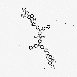 N#C/C(=C(/C#N)c1ccc(N(c2ccc(-c3ccccc3)cc2)c2ccc(-c3ccc(/N=C4\Nc5cccc6c(-c7ccc(C(F)(F)F)cc7C(F)(F)F)ccc4c56)nc3)cc2)cc1)c1ccc(N(c2ccc(-c3ccccc3)cc2)c2ccc(-c3ccc(/N=C4\Nc5ccc(-c6ccc(C(F)(F)F)cc6C(F)(F)F)c6cccc4c56)nc3)cc2)cc1